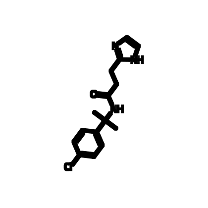 CC(C)(NC(=O)CCc1ncc[nH]1)c1ccc(Cl)cc1